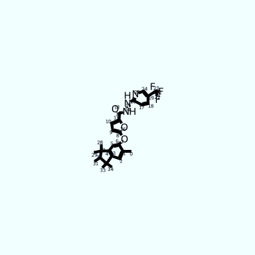 Cc1cc2c(cc1Oc1ccc(C(=O)NNc3ccc(C(F)(F)F)cn3)o1)C(C)(C)C(C)C2(C)C